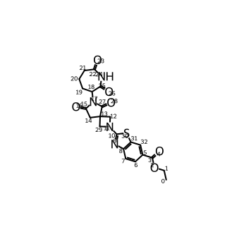 CCOC(=O)c1ccc2nc(N3CC4(CC(=O)N(C5CCCC(=O)NC5=O)C4=O)C3)sc2c1